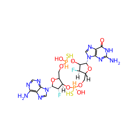 Nc1nc2c(ncn2[C@@H]2O[C@@H]3CO[PH](O)(S)O[C@@H]4C(CO[PH](O)(S)OC2[C@@H]3F)O[C@@H](n2cnc3c(N)ncnc32)[C@H]4F)c(=O)[nH]1